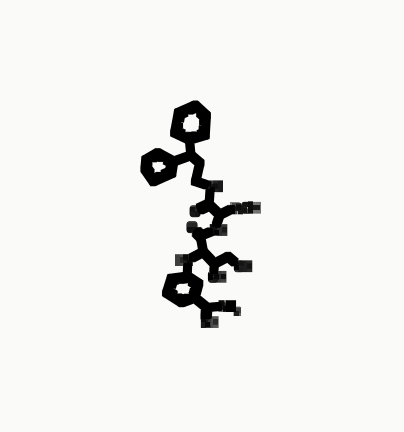 CC(C)C(NC(=O)C(Nc1cccc(C(=N)N)c1)C(O)CO)C(=O)NCCC(c1ccccc1)c1ccccc1.Cl